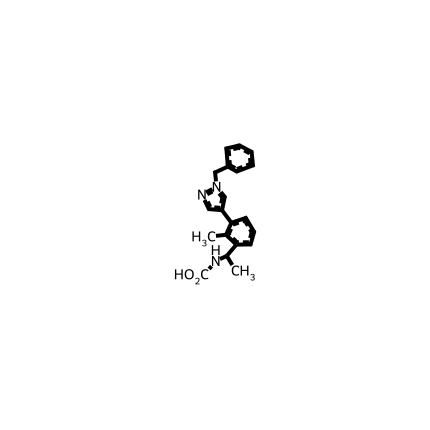 Cc1c(-c2cnn(Cc3ccccc3)c2)cccc1C(C)NC(=O)O